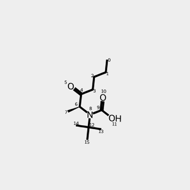 CCCCC(=O)[C@H](C)N(C(=O)O)C(C)(C)C